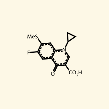 CSc1cc2c(cc1F)c(=O)c(C(=O)O)cn2C1CC1